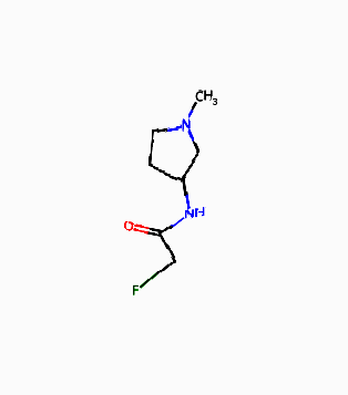 CN1CCC(NC(=O)CF)C1